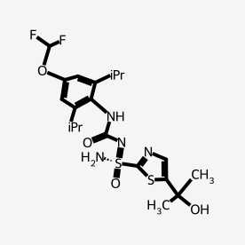 CC(C)c1cc(OC(F)F)cc(C(C)C)c1NC(=O)N=[S@](N)(=O)c1ncc(C(C)(C)O)s1